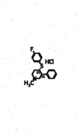 CN1CC[C@H](Sc2ccc(F)cc2)[C@@H](c2ccccc2)C1.Cl